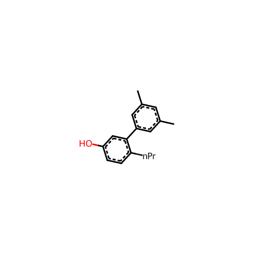 CCCc1ccc(O)cc1-c1cc(C)cc(C)c1